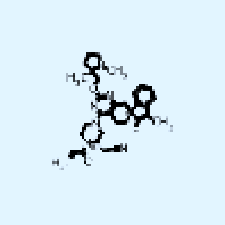 C=CC(=O)N1CCN(c2nc(OC[C@]3(C)CCCN3C)nc3c2CC[C@]2(C3)C(F)=C(C)c3ccccc32)C[C@@H]1CC#N